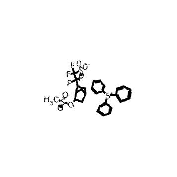 CS(=O)(=O)OC1CC2CC1C(C(F)(F)C(F)(F)S(=O)(=O)[O-])C2.c1ccc([S+](c2ccccc2)c2ccccc2)cc1